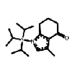 Cc1cn(S(C(C)C)(C(C)C)C(C)C)c2c1C(=O)CCC2